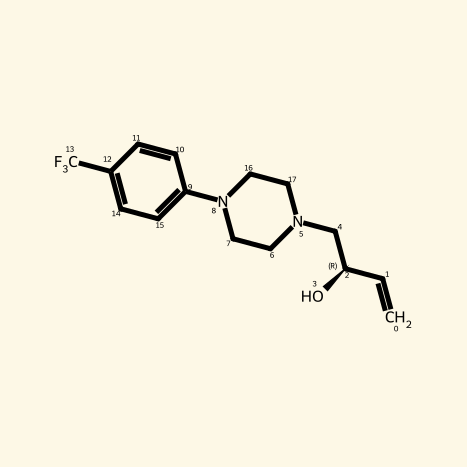 C=C[C@@H](O)CN1CCN(c2ccc(C(F)(F)F)cc2)CC1